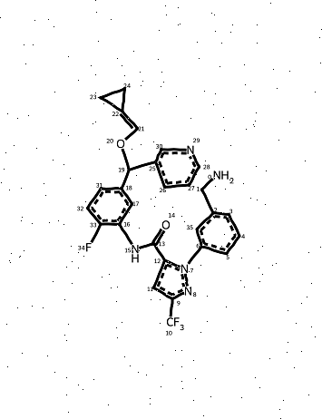 NCc1cccc(-n2nc(C(F)(F)F)cc2C(=O)Nc2cc(C(OC=C3CC3)c3cccnc3)ccc2F)c1